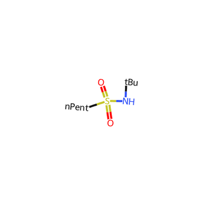 CCCCCS(=O)(=O)NC(C)(C)C